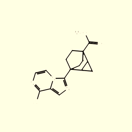 COC(=O)C12CCC(c3ncc4c(Cl)nccn34)(CC1)C1CC12